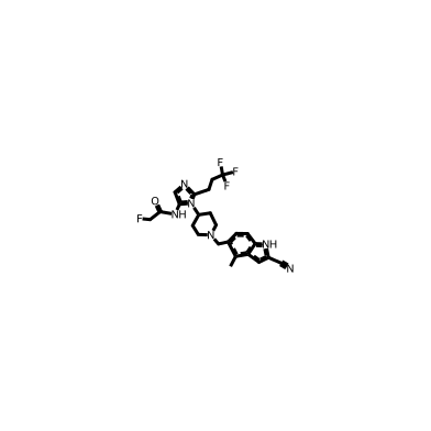 Cc1c(CN2CCC(n3c(NC(=O)CF)cnc3CCC(F)(F)F)CC2)ccc2[nH]c(C#N)cc12